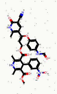 COC(=O)C1=C(C)NC(C)=C(C(=O)OCC=C(Oc2ccc(NC=O)cc2)c2cc(C#N)c(=O)[nH]c2C)C1c1cccc([N+](=O)[O-])c1